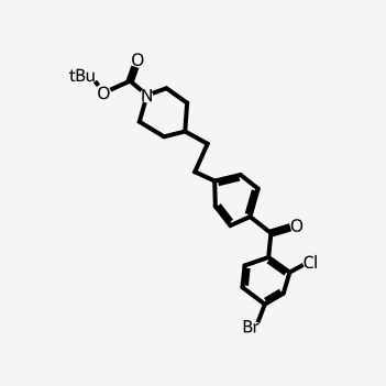 CC(C)(C)OC(=O)N1CCC(CCc2ccc(C(=O)c3ccc(Br)cc3Cl)cc2)CC1